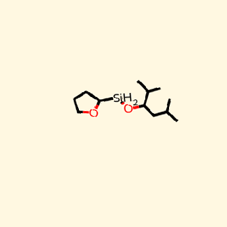 CC(C)CC(O[SiH2]C1CCCO1)C(C)C